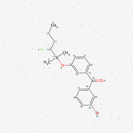 CCCC(F)[Si](C)(C)Oc1cccc(C(=O)c2cccc(Br)c2)c1